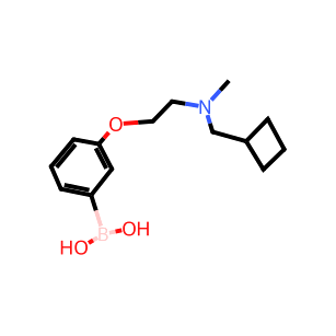 CN(CCOc1cccc(B(O)O)c1)CC1CCC1